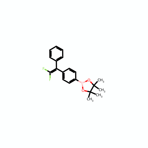 CC1(C)OB(c2ccc(C(=C(F)F)c3ccccc3)cc2)OC1(C)C